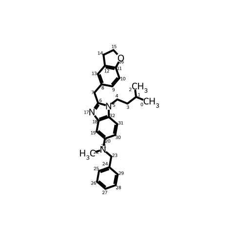 CC(C)CCn1c(Cc2ccc3c(c2)CCO3)nc2cc(N(C)Cc3ccccc3)ccc21